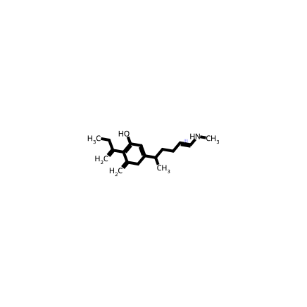 C=C(CC)C1=C(O)C=C(C(C)CC/C=C/NC)CC1=C